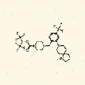 CN1CCCC12CCN(c1cc(C(F)(F)F)ccc1CN1CCN(C(=O)OC(C(F)(F)F)C(F)(F)F)CC1)CC2